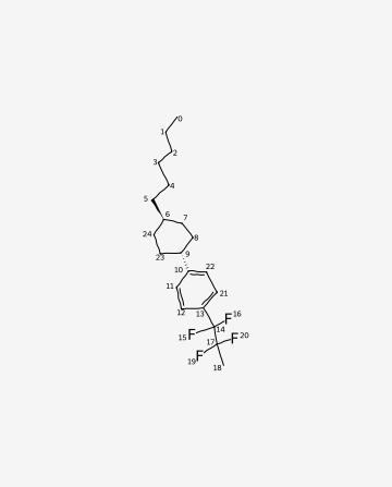 CCCCCC[C@H]1CC[C@H](c2ccc(C(F)(F)C(C)(F)F)cc2)CC1